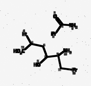 CC(C)C(N)=O.CCC(CC(O)C(N)CC(C)C)C(=O)O